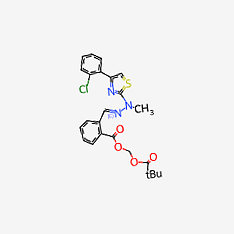 CN(/N=C/c1ccccc1C(=O)OCOC(=O)C(C)(C)C)c1nc(-c2ccccc2Cl)cs1